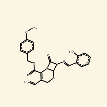 C=CC1=C(C(=O)OCc2ccc(OC)cc2)N2C(=O)C(N=Cc3ccccc3O)C2SC1